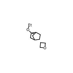 C1COC1.CCOC1=C2CCC(C2)C1